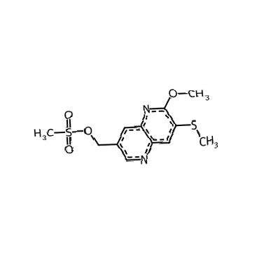 COc1nc2cc(COS(C)(=O)=O)cnc2cc1SC